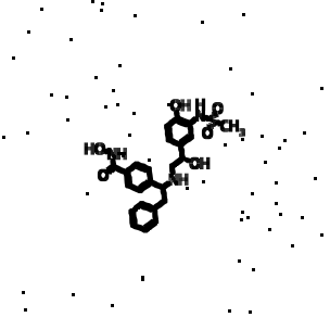 CS(=O)(=O)Nc1cc([C@@H](O)CNC(Cc2ccccc2)c2ccc(C(=O)NO)cc2)ccc1O